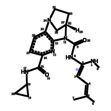 CN/C(=C\C=C(C)C)NC(=O)N1c2nc(C(=O)NC3CC3)ccc2N2CC[C@H]1C2